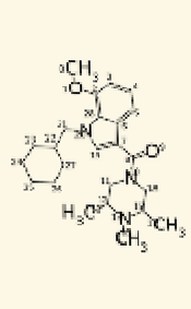 COc1cccc2c(C(=O)N3CC(C)N(C)C(C)C3)cn(CC3CCCCC3)c12